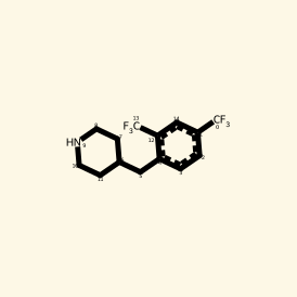 FC(F)(F)c1ccc(CC2CCNCC2)c(C(F)(F)F)c1